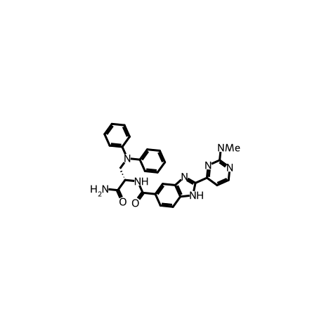 CNc1nccc(-c2nc3cc(C(=O)N[C@@H](CN(c4ccccc4)c4ccccc4)C(N)=O)ccc3[nH]2)n1